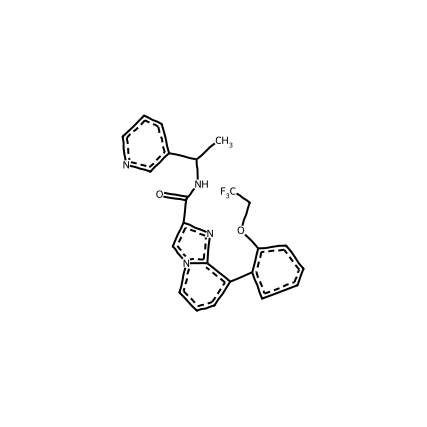 CC(NC(=O)c1cn2cccc(-c3ccccc3OCC(F)(F)F)c2n1)c1cccnc1